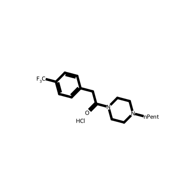 CCCCCN1CCN(C(=O)Cc2ccc(C(F)(F)F)cc2)CC1.Cl